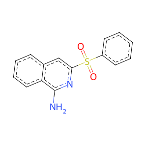 Nc1nc(S(=O)(=O)c2ccccc2)cc2ccccc12